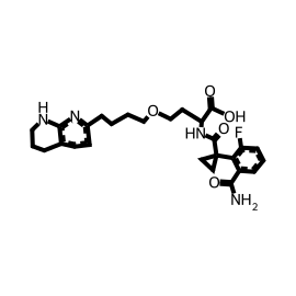 NC(=O)c1cccc(F)c1C1(C(=O)NC(CCOCCCCc2ccc3c(n2)NCCC3)C(=O)O)CC1